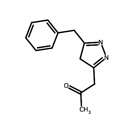 CC(=O)CC1=NN=C(Cc2ccccc2)C1